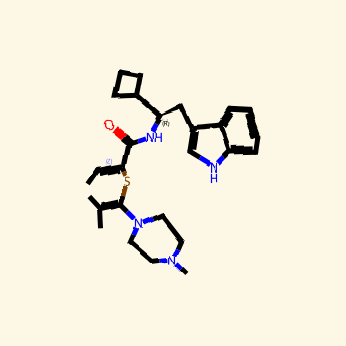 C/C=C(\SC(=C(C)C)N1CCN(C)CC1)C(=O)N[C@H](Cc1c[nH]c2ccccc12)C1CCC1